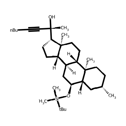 CCCCC#C[C@](C)(O)[C@H]1CC[C@H]2[C@@H]3C[C@H](O[Si](C)(C)C(C)(C)C)[C@H]4C[C@@H](C)CC[C@]4(C)[C@H]3CC[C@@]21C